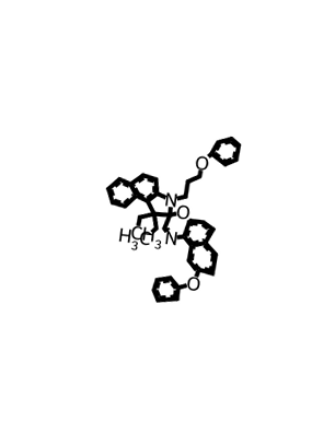 CCC1(CC)c2c(ccc3ccccc23)N(CCCOc2ccccc2)C12C=Nc1c(ccc3ccc(Oc4ccccc4)cc13)O2